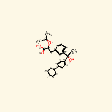 CC(C)OC(Cc1cccc(C(C)(O)c2ccc(C3CCCCC3)cc2)c1)C(=O)O